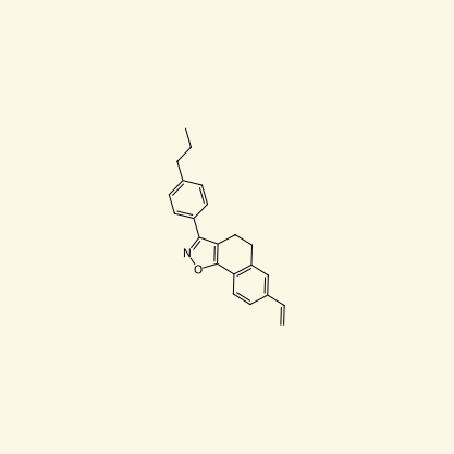 C=Cc1ccc2c(c1)CCc1c(-c3ccc(CCC)cc3)noc1-2